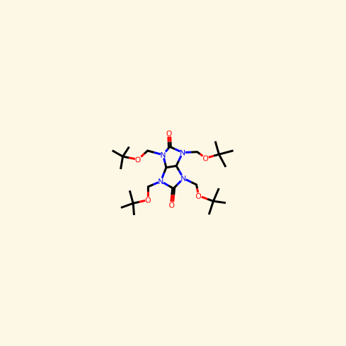 CC(C)(C)OCN1C(=O)N(COC(C)(C)C)C2C1N(COC(C)(C)C)C(=O)N2COC(C)(C)C